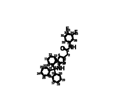 O=C(Cc1cnc(NC(c2ccccc2)(c2ccccc2)c2ccccc2)s1)Nc1ccc(F)c(F)c1